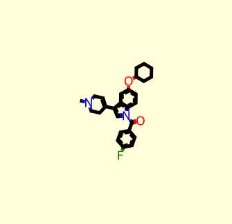 CN1CC=C(c2cn(C(=O)c3ccc(F)cc3)c3ccc(OC4CCCCC4)cc23)CC1